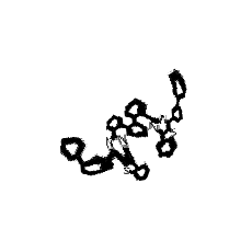 c1ccc(-c2cccc(-c3nc(-c4ccccc4-c4ccccc4-c4ccccc4-c4nc(-c5cccc(-c6ccccc6)c5)c5sc6ccccc6c5n4)nc4c3sc3ccccc34)c2)cc1